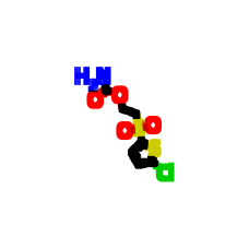 NC(=O)OCCS(=O)(=O)c1ccc(Cl)s1